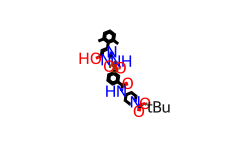 Cc1cccc(C)c1-c1cc(O)nc(NS(=O)(=O)c2cccc(C(=O)NC3CCN(C(=O)OC(C)(C)C)CC3)c2)n1